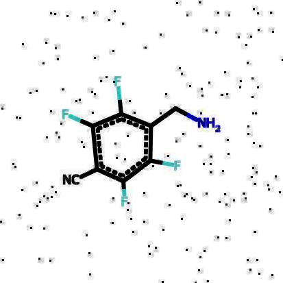 N#Cc1c(F)c(F)c(CN)c(F)c1F